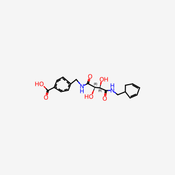 O=C(O)c1ccc(CNC(=O)[C@H](O)[C@@H](O)C(=O)NCC2C=CC=CC2)cc1